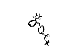 C=C1OB(c2ccccc2CN2CCN(C(=O)OC(C)(C)C)CC2)OC1(C)C